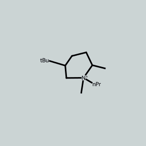 CCC[N+]1(C)CC(C(C)(C)C)CCC1C